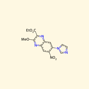 CCOC(=O)c1nc2cc(-n3ccnc3)c([N+](=O)[O-])cc2nc1OC